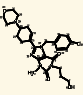 Cn1c(=O)n(CCCO)c(=O)c2c1nc(C1=CCC(N3CCOCC3)CC1)n2Cc1ccc(Cl)cc1